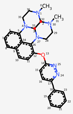 CN1CCN(c2cccc3ccc(Oc4ccc(-c5ccccc5)nn4)c(N4CCN(C)CC4)c23)CC1